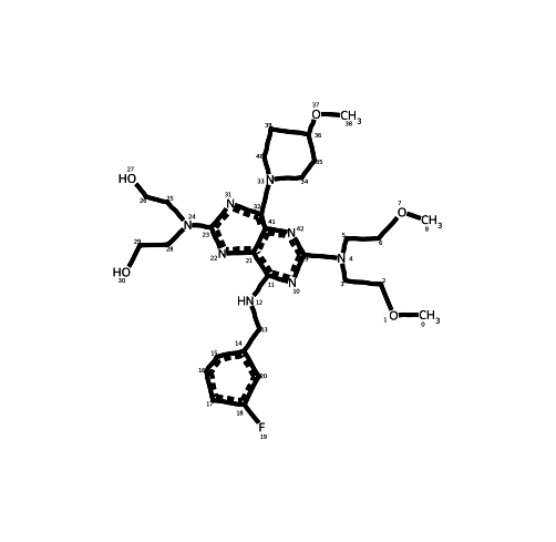 COCCN(CCOC)c1nc(NCc2cccc(F)c2)c2nc(N(CCO)CCO)nc(N3CCC(OC)CC3)c2n1